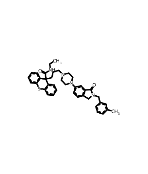 CCNC(=O)C1(CCCN2CCN(c3ccc4c(c3)C(=O)N(Cc3cccc(C)c3)C4)CC2)c2ccccc2Sc2ccccc21